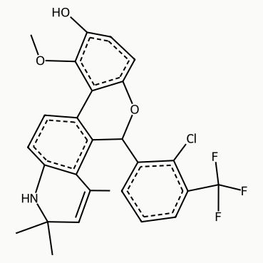 COc1c(O)ccc2c1-c1ccc3c(c1C(c1cccc(C(F)(F)F)c1Cl)O2)C(C)=CC(C)(C)N3